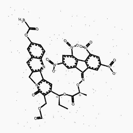 BC(=O)Oc1ccc2nc3c(cc2c1)Cn1c-3cc([C@H](CC)OC(=O)[C@H](C)ON=C2c3cc([N+](=O)[O-])cc([N+](=O)[O-])c3-c3c2cc([N+](=O)[O-])cc3[N+](=O)[O-])c(COC=O)c1=O